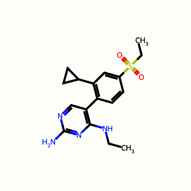 CCNc1nc(N)ncc1-c1ccc(S(=O)(=O)CC)cc1C1CC1